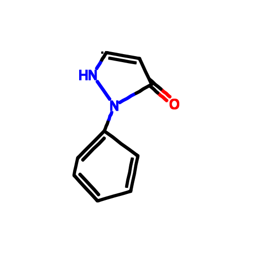 O=c1c[c][nH]n1-c1ccccc1